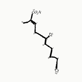 CC(=CCC(Cl)CCCCCl)C(=O)O